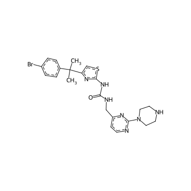 CC(C)(c1ccc(Br)cc1)c1csc(NC(=O)NCc2ccnc(N3CCNCC3)n2)n1